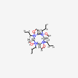 CCC[N+]1(OC)[SiH2][N+](CCC)(OC)[SiH2][N+](CCC)(OC)[SiH2][N+](CCC)(OC)[SiH2]1